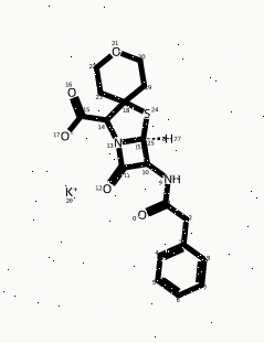 O=C(Cc1ccccc1)NC1C(=O)N2C(C(=O)[O-])C3(CCOCC3)S[C@@H]12.[K+]